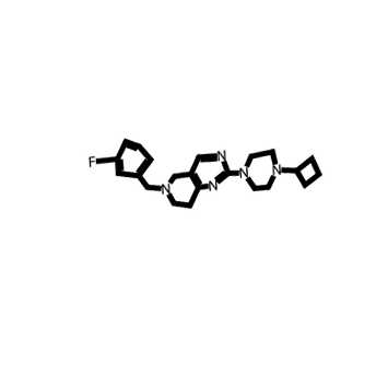 Fc1cccc(CN2CCc3nc(N4CCN(C5CCC5)CC4)ncc3C2)c1